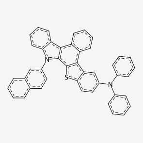 c1ccc(N(c2ccccc2)c2ccc3sc4c(c3c2)c2ccccc2c2c3ccccc3n(-c3ccc5ccccc5c3)c42)cc1